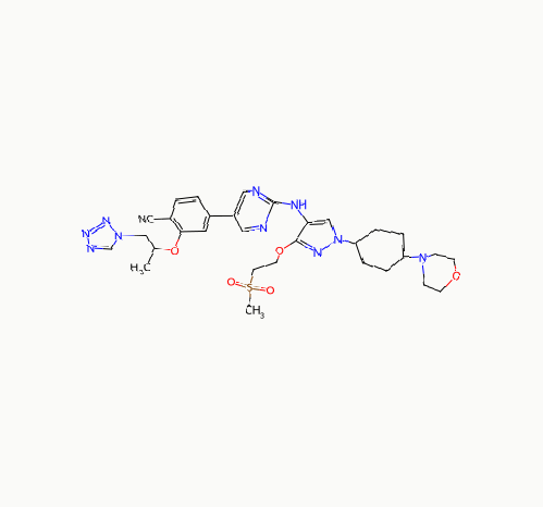 CC(Cn1cnnn1)Oc1cc(-c2cnc(Nc3cn(C4CCC(N5CCOCC5)CC4)nc3OCCS(C)(=O)=O)nc2)ccc1C#N